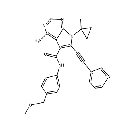 COCc1ccc(NC(=O)c2c(C#Cc3cccnc3)n(C3(C)CC3)c3ncnc(N)c23)cc1